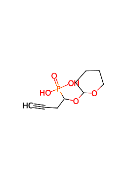 C#CCC(OC1CCCCO1)P(=O)(O)O